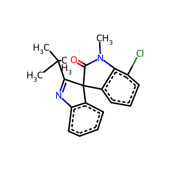 CN1C(=O)C2(C(C(C)(C)C)=Nc3ccccc32)c2cccc(Cl)c21